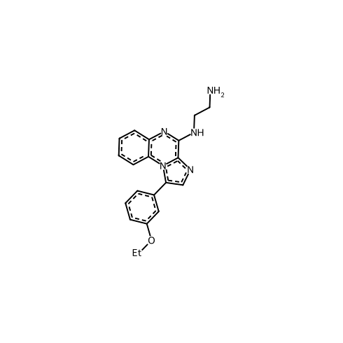 CCOc1cccc(-c2cnc3c(NCCN)nc4ccccc4n23)c1